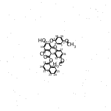 COc1ccc(Oc2c(O)cc(Cl)c(CC(=O)Oc3cccc4ccccc34)c2Oc2ccc(OC)cc2)cc1